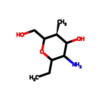 CCC1OC(CO)[C@H](C)C(O)C1N